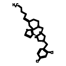 CCCCC=C1CCN(C[C@H]2CN(Cc3ccc(Cl)cc3Cl)C[C@@H]2c2ccsc2)CC1